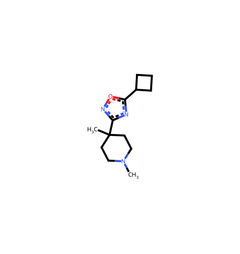 CN1CCC(C)(c2noc(C3CCC3)n2)CC1